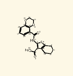 O=C(Nc1sc2c(c1C(=O)O)CCCC2)c1cccc2c1OCCO2